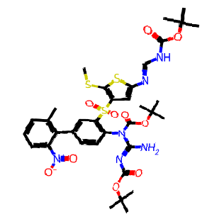 CSc1sc(N=CNC(=O)OC(C)(C)C)cc1S(=O)(=O)c1cc(-c2c(C)cccc2[N+](=O)[O-])ccc1N(C(=O)OC(C)(C)C)C(N)=NC(=O)OC(C)(C)C